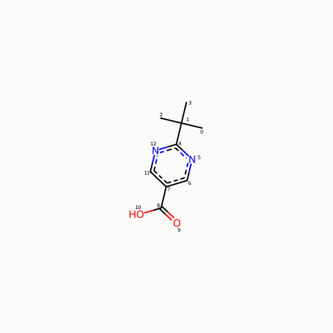 CC(C)(C)c1ncc(C(=O)O)cn1